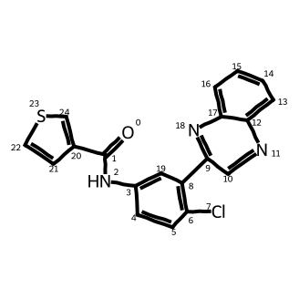 O=C(Nc1ccc(Cl)c(-c2cnc3ccccc3n2)c1)c1ccsc1